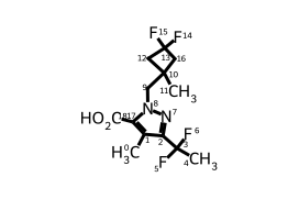 Cc1c(C(C)(F)F)nn(CC2(C)CC(F)(F)C2)c1C(=O)O